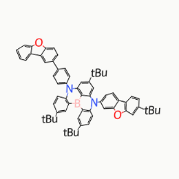 CC(C)(C)c1ccc2c(c1)B1c3cc(C(C)(C)C)ccc3N(c3ccc4c(c3)oc3cc(C(C)(C)C)ccc34)c3cc(C(C)(C)C)cc(c31)N2c1ccc(-c2ccc3oc4ccccc4c3c2)cc1